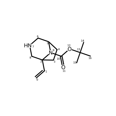 C=CC12CCC(CNC1)N2C(=O)OC(C)(C)C